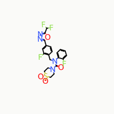 O=C(N1CCS(=O)(=O)CC1)N(Cc1ccc(-c2nnc(C(F)F)o2)cc1F)c1ccccc1F